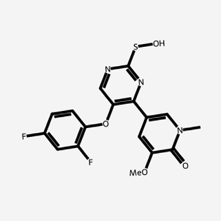 COc1cc(-c2nc(SO)ncc2Oc2ccc(F)cc2F)cn(C)c1=O